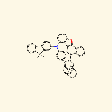 CC1(C)c2ccccc2-c2ccc(N(c3ccc(-c4ccccc4)cc3)c3cccc4oc5c6ccccc6c(-c6ccc7ccccc7c6)cc5c34)cc21